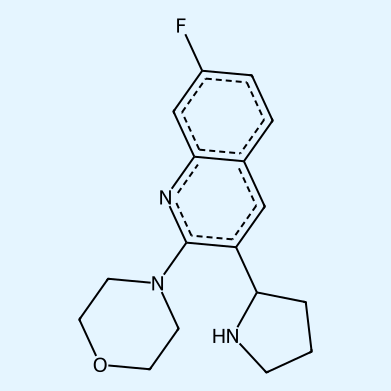 Fc1ccc2cc(C3CCCN3)c(N3CCOCC3)nc2c1